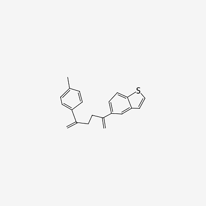 C=C(CCC(=C)c1ccc2sccc2c1)c1ccc(C)cc1